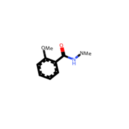 CNNC(=O)c1ccccc1OC